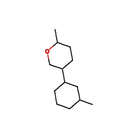 CC1CCCC(C2CCC(C)OC2)C1